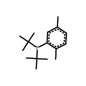 Cc1ccc(C)c(P(C(C)(C)C)C(C)(C)C)c1